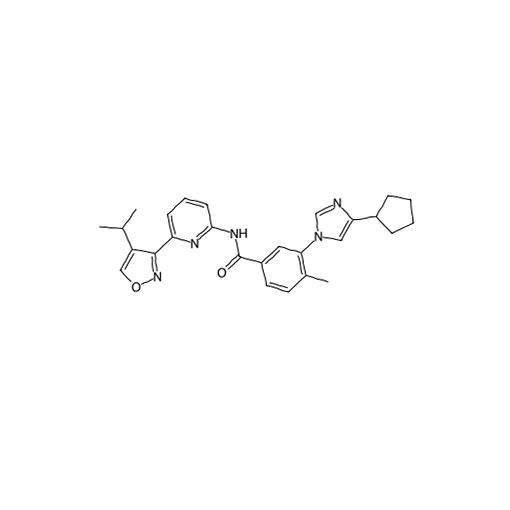 Cc1ccc(C(=O)Nc2cccc(-c3nocc3C(C)C)n2)cc1-n1cnc(C2CCCC2)c1